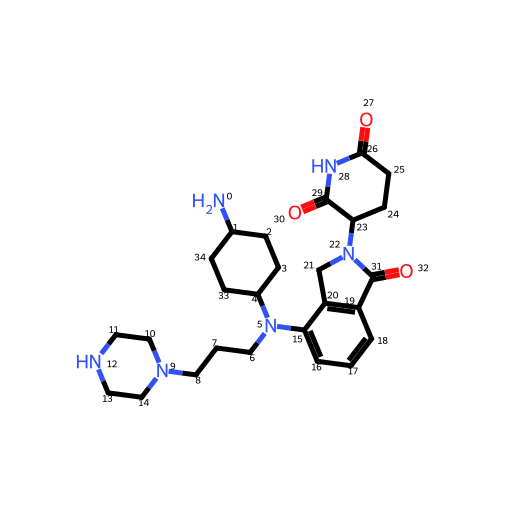 NC1CCC(N(CCCN2CCNCC2)c2cccc3c2CN(C2CCC(=O)NC2=O)C3=O)CC1